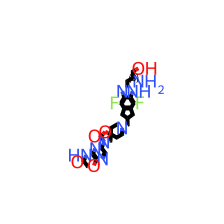 N[C@H](CO)Cc1nc2c(F)c3c(c(F)c2[nH]1)CC(CN1CCC2(CC1)CN(c1cnc4c(n1)NC(=O)CO4)C(=O)O2)C3